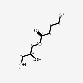 O=C(CCC[S])OCC(O)CO